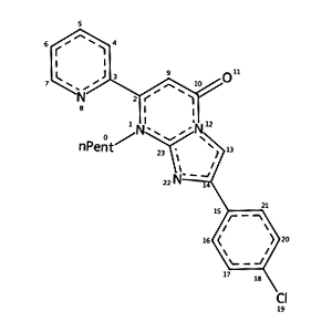 CCCCCn1c(-c2ccccn2)cc(=O)n2cc(-c3ccc(Cl)cc3)nc12